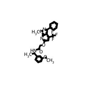 COc1cccc(C(C)NC(=O)COc2cc(C(F)(F)F)c3c(-c4ccccc4)nn(C)c3n2)c1